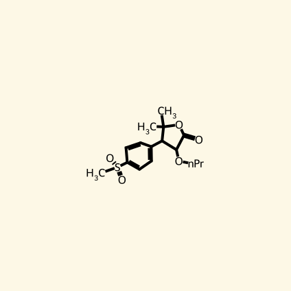 CCCOC1C(=O)OC(C)(C)C1c1ccc(S(C)(=O)=O)cc1